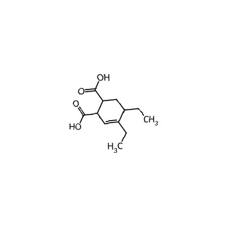 CCC1=CC(C(=O)O)C(C(=O)O)CC1CC